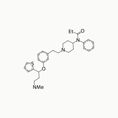 CCC(=O)N(c1ccccc1)C1CCN(CCc2cccc(OC(CCNC)c3cccs3)c2)CC1